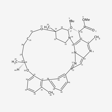 COC(=O)[C@@H](OC(C)(C)C)c1c(C)nc2cc3nn2c1N1CCC(C)(CC1)OCCCC[C@H](C)Oc1cccc(C)c1-c1cccc-3c1